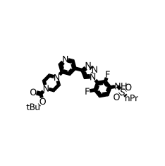 CCCS(=O)(=O)Nc1ccc(F)c(-n2cc(-c3cncc(N4CCN(C(=O)OC(C)(C)C)CC4)c3)nn2)c1F